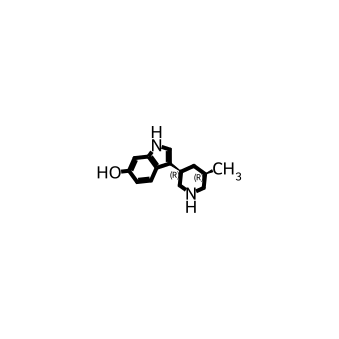 C[C@H]1CNC[C@@H](c2c[nH]c3cc(O)ccc23)C1